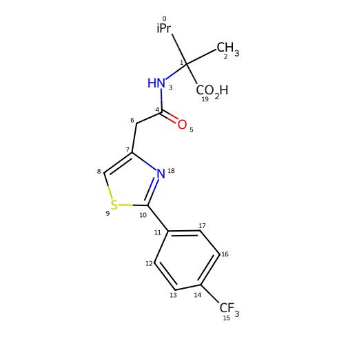 CC(C)C(C)(NC(=O)Cc1csc(-c2ccc(C(F)(F)F)cc2)n1)C(=O)O